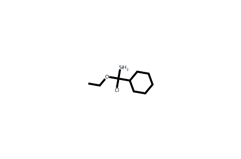 CCOC([SiH3])(Cl)C1CCCCC1